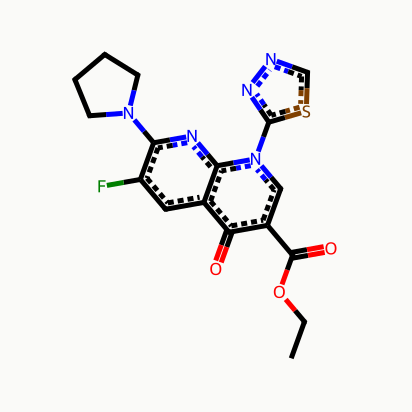 CCOC(=O)c1cn(-c2nncs2)c2nc(N3CCCC3)c(F)cc2c1=O